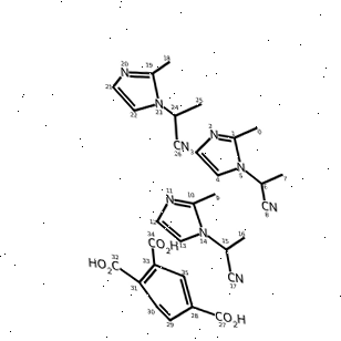 Cc1nccn1C(C)C#N.Cc1nccn1C(C)C#N.Cc1nccn1C(C)C#N.O=C(O)c1ccc(C(=O)O)c(C(=O)O)c1